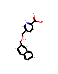 O=C(O)c1ccc(COCc2ccc3ccccc3c2)cn1